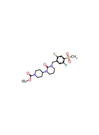 CC(C)(C)OC(=O)N1CCC(N2CCCN(Cc3cc(F)c(S(C)(=O)=O)cc3F)C2=O)CC1